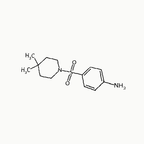 CC1(C)CCN(S(=O)(=O)c2ccc(N)cc2)CC1